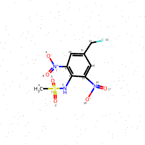 CS(=O)(=O)Nc1c([N+](=O)[O-])cc(CF)cc1[N+](=O)[O-]